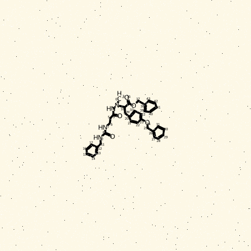 CN(NC(=O)CCNC(=O)NCc1ccccc1)C(Cc1ccc(OCc2ccccc2)cc1)C(=O)OCc1ccccc1